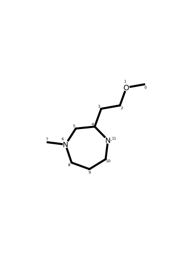 COCCC1CN(C)CCC[N]1